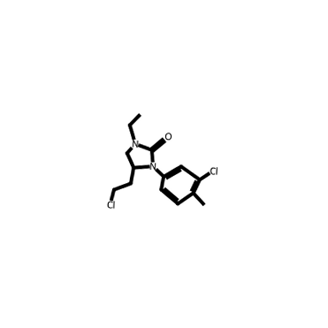 CCN1CC(CCCl)N(c2ccc(C)c(Cl)c2)C1=O